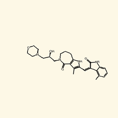 Cc1cccc2c1C(=Cc1[nH]c3c(c1C)C(=O)N(C[C@H](O)CN1CCOCC1)CCC3)C(=O)N2